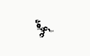 Cc1nccn1-c1ccc(Nc2nc3c(c(CC4CCOCC4)n2)CN(CCO)CC3)cc1